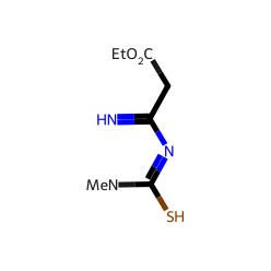 CCOC(=O)CC(=N)/N=C(/S)NC